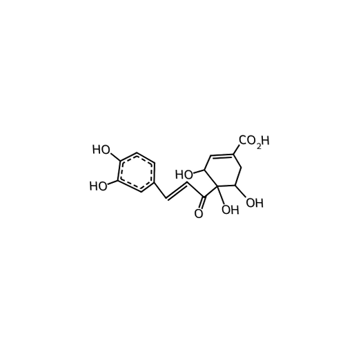 O=C(O)C1=CC(O)C(O)(C(=O)C=Cc2ccc(O)c(O)c2)C(O)C1